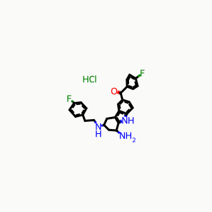 Cl.NC1CC(NCCc2ccc(F)cc2)Cc2c1[nH]c1ccc(C(=O)c3ccc(F)cc3)cc21